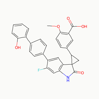 COc1ccc(C2CC23C(=O)Nc2cc(F)c(-c4ccc(-c5ccccc5O)cc4)cc23)cc1C(=O)O